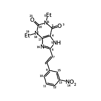 CCn1c(=O)c2[nH]c(C=Cc3cccc([N+](=O)[O-])c3)nc2n(CC)c1=O